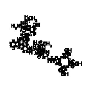 CCNC(=O)/N=C(/N)NCCC[C@@H](NC(=O)[C@H](c1cccc(NCCCNC(=O)[C@@H](CCCCNC(=O)CN2CCN(CC(=O)O)CCN(CC(=O)O)CCN(CC(=O)O)CC2)NC(=O)OC(C)(C)C)c1)N1Cc2ccccc2C1)C(=O)NCc1c(F)cc(O)cc1F